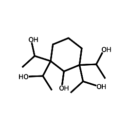 CC(O)C1(C(C)O)CCCC(C(C)O)(C(C)O)C1O